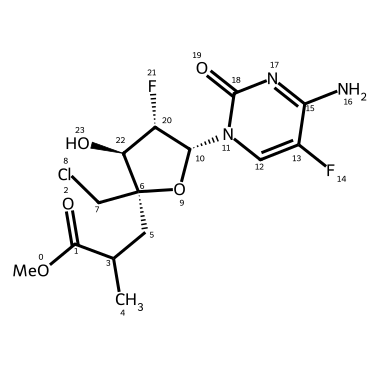 COC(=O)C(C)C[C@@]1(CCl)O[C@@H](n2cc(F)c(N)nc2=O)[C@@H](F)[C@@H]1O